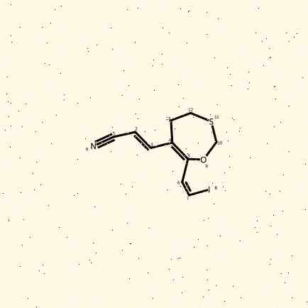 N#C/C=C/C1=C(/C=C\I)OCSCC1